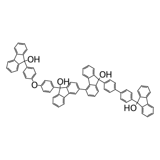 OC1(c2ccc(Oc3ccc(C4(O)c5ccccc5-c5cc(-c6cccc7c6-c6ccccc6C7(O)c6ccc(-c7ccc(C8(O)c9ccccc9-c9ccccc98)cc7)cc6)ccc54)cc3)cc2)c2ccccc2-c2ccccc21